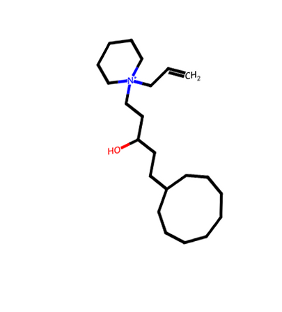 C=CC[N+]1(CCC(O)CCC2CCCCCCCC2)CCCCC1